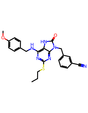 CCCSc1nc(NCc2ccc(OC)cc2)c2[nH]c(=O)n(Cc3cccc(C#N)c3)c2n1